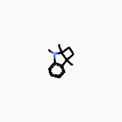 CN1c2ccccc2C2(C)CCC12C